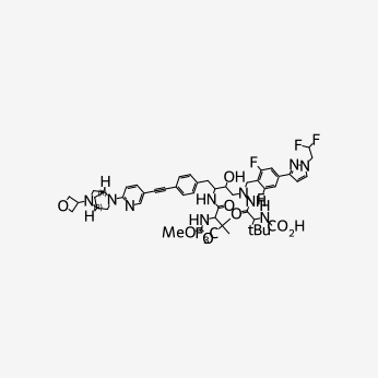 COC(=O)NC(C(=O)NC(Cc1ccc(C#Cc2ccc(N3C[C@H]4C[C@@H]3CN4C3COC3)nc2)cc1)C(O)CN(Cc1c(F)cc(-c2ccn(CC(F)F)n2)cc1F)NC(=O)C(NC(=O)O)C(C)(C)C)C(C)(C)C(F)(F)F